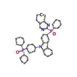 O=P(c1ccccc1)(c1ccccc1)c1ccc(-n2c3ccccc3c3cc(P(=O)(c4ccccc4)c4ncc5ccccc5n4)ccc32)cc1